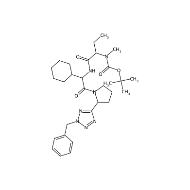 CCC(C(=O)NC(C(=O)N1CCCC1c1nnn(Cc2ccccc2)n1)C1CCCCC1)N(C)C(=O)OC(C)(C)C